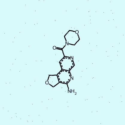 Nc1nc2cnc(C(=O)N3CCOCC3)cc2c2c1COC2